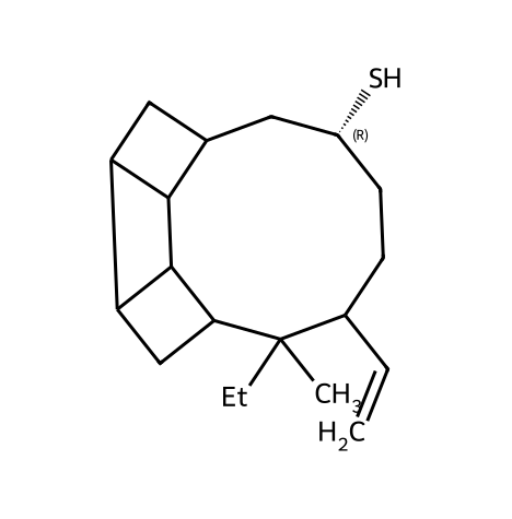 C=CC1CC[C@@H](S)CC2CC3C4CC(C4C23)C1(C)CC